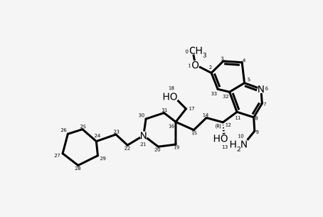 COc1ccc2ncc(CN)c([C@H](O)CCC3(CO)CCN(CCC4CCCCC4)CC3)c2c1